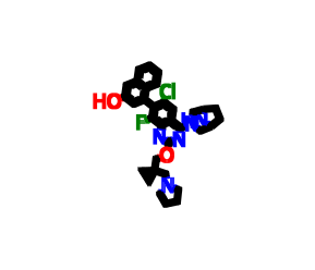 Oc1cc(-c2c(Cl)cc3c(N4CC5CCC(C4)N5)nc(OCC4(CN5CCCC5)CC4)nc3c2F)c2ccccc2c1